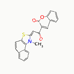 CN1C(=CC(=O)c2cc3ccccc3oc2=O)Sc2ccc3ccccc3c21